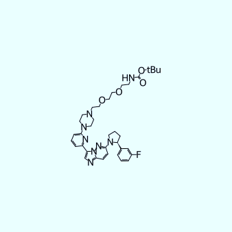 CC(C)(C)OC(=O)NCCOCCOCCN1CCN(c2cccc(-c3cnc4ccc(N5CCC[C@H]5c5cccc(F)c5)nn34)n2)CC1